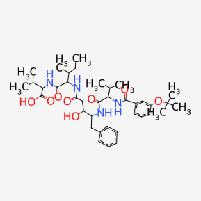 CCC(C)C(NC(=O)CC(O)C(Cc1ccccc1)NC(=O)C(NC(=O)c1cccc(OC(C)(C)C)c1)C(C)C)C(=O)NC(C(=O)O)C(C)C